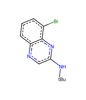 CC(C)(C)Nc1cnc2cccc(Br)c2n1